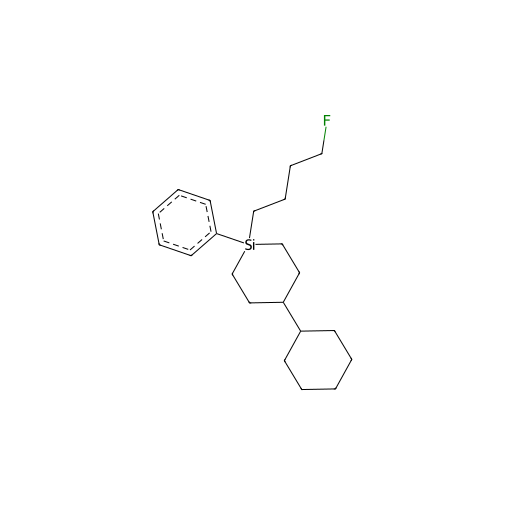 FCCCC[Si]1(c2ccccc2)CCC(C2CCCCC2)CC1